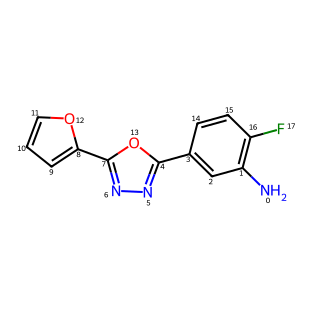 Nc1cc(-c2nnc(-c3ccco3)o2)ccc1F